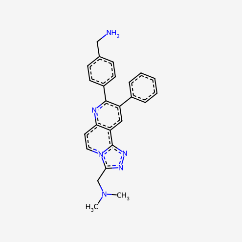 CN(C)Cc1nnc2c3cc(-c4ccccc4)c(-c4ccc(CN)cc4)nc3ccn12